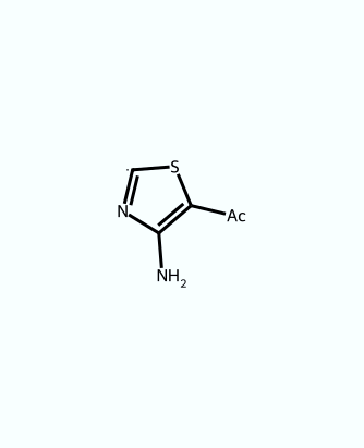 CC(=O)c1s[c]nc1N